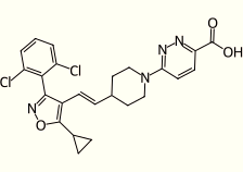 O=C(O)c1ccc(N2CCC(C=Cc3c(-c4c(Cl)cccc4Cl)noc3C3CC3)CC2)nn1